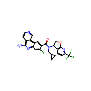 Nc1nc2cc(F)c(C(=O)N(CC3CC3)C3COc4nc(C(F)(F)F)ccc43)cc2c2cnccc12